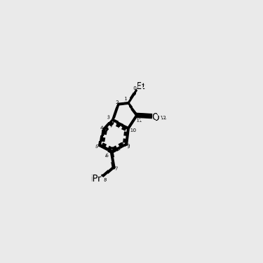 CCC1Cc2ccc(CC(C)C)cc2C1=O